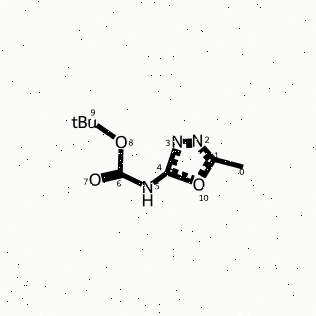 Cc1nnc(NC(=O)OC(C)(C)C)o1